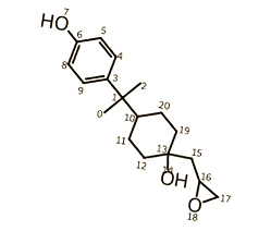 CC(C)(c1ccc(O)cc1)C1CCC(O)(CC2CO2)CC1